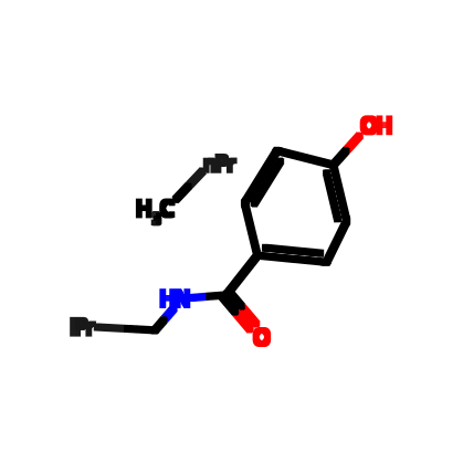 CC(C)CNC(=O)c1ccc(O)cc1.CCCC